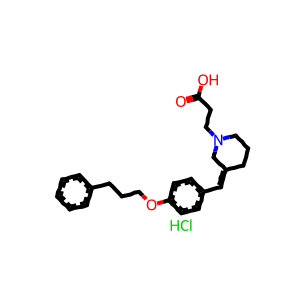 Cl.O=C(O)CCN1CCC/C(=C/c2ccc(OCCCc3ccccc3)cc2)C1